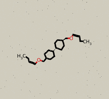 CC/C=C\OCC1CCC([C@H]2CC[C@H](CO/C=C\CC)CC2)CC1